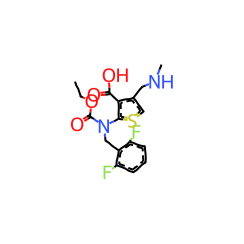 CCOC(=O)N(Cc1c(F)cccc1F)c1scc(CNC)c1C(=O)O